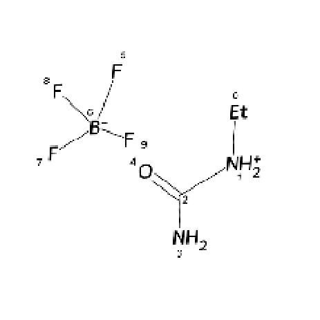 CC[NH2+]C(N)=O.F[B-](F)(F)F